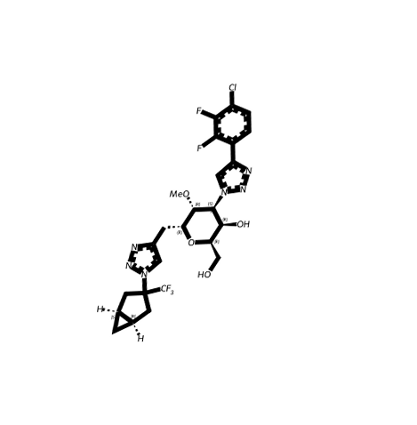 CO[C@@H]1[C@@H](n2cc(-c3ccc(Cl)c(F)c3F)nn2)[C@@H](O)[C@@H](CO)O[C@@H]1Cc1cn(C2(C(F)(F)F)C[C@H]3C[C@H]3C2)nn1